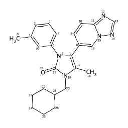 Cc1cccc(-n2c(-c3ccc4ncnn4c3)c(C)n(CC3CCCCC3)c2=O)c1